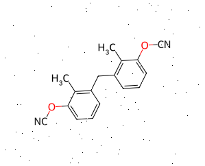 Cc1c(Cc2cccc(OC#N)c2C)cccc1OC#N